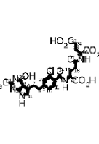 Cc1nc(O)c2c(CCc3ccc(C(=O)N[C@@H](CCC(=O)N[C@@H](CCC(=O)O)C(=O)O)C(=O)O)c(Cl)c3)c[nH]c2n1